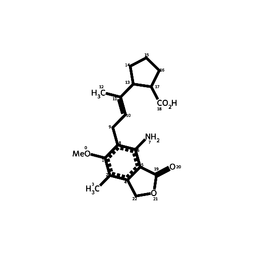 COc1c(C)c2c(c(N)c1C/C=C(\C)C1CCCC1C(=O)O)C(=O)OC2